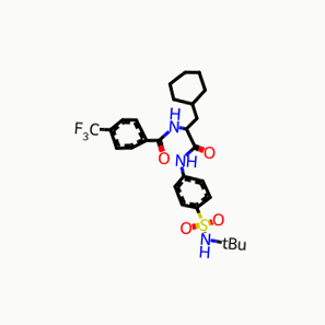 CC(C)(C)NS(=O)(=O)c1ccc(NC(=O)C(CC2CCCCC2)NC(=O)c2ccc(C(F)(F)F)cc2)cc1